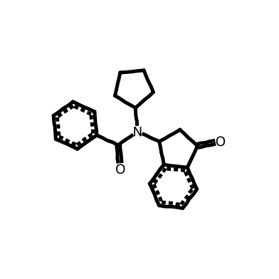 O=C1CC(N(C(=O)c2ccccc2)C2CCCC2)c2ccccc21